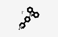 C[n+]1ccc(-c2ccc(-n3c4ccccc4c4ccccc43)cc2)cc1.[I-]